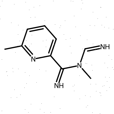 Cc1cccc(C(=N)N(C)C=N)n1